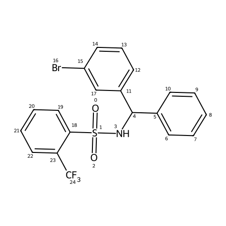 O=S(=O)(NC(c1ccccc1)c1cccc(Br)c1)c1ccccc1C(F)(F)F